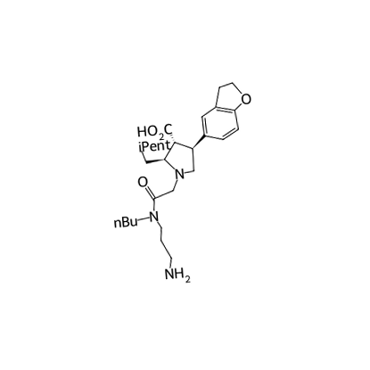 CCCCN(CCCN)C(=O)CN1C[C@H](c2ccc3c(c2)CCO3)[C@@H](C(=O)O)[C@@H]1CC(C)CCC